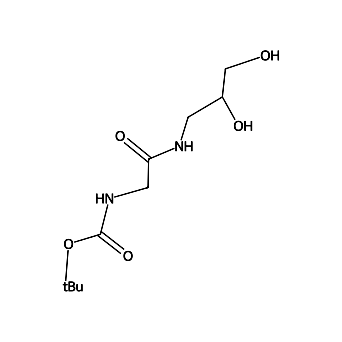 CC(C)(C)OC(=O)NCC(=O)NCC(O)CO